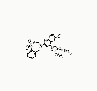 N[C@@H]1CN(c2cc(N3CCS(=O)(=O)c4ccccc4C3)nc3ccc(Cl)cc23)C[C@H]1O